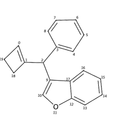 C1=C(C(c2ccccc2)c2coc3ccccc23)CC1